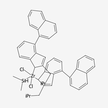 CC(C)CC1=Cc2c(-c3cccc4ccccc34)cccc2[CH]1[Zr]([Cl])([Cl])([CH]1C(CC(C)C)=Cc2c(-c3cccc4ccccc34)cccc21)[SiH](C)C